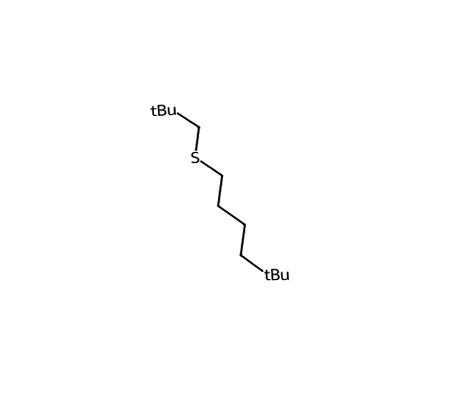 CC(C)(C)CCCCSCC(C)(C)C